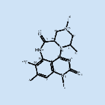 Cc1cc2c3c(nc(=O)n2I)N2C(C)CN(I)CC2C(=O)Nc3c1F